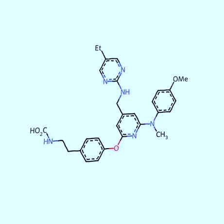 CCc1cnc(NCc2cc(Oc3ccc(CCNC(=O)O)cc3)nc(N(C)c3ccc(OC)cc3)c2)nc1